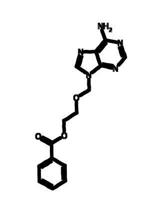 Nc1ncnc2c1ncn2COCCOC(=O)c1ccccc1